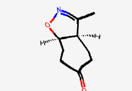 CC1=NO[C@@H]2CC(=O)C[C@H]12